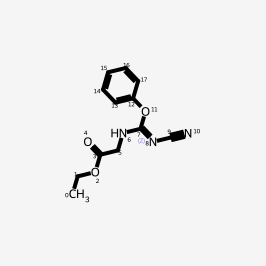 CCOC(=O)CN/C(=N/C#N)Oc1ccccc1